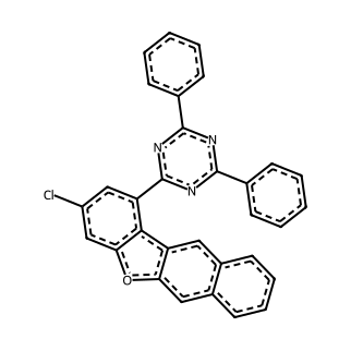 Clc1cc(-c2nc(-c3ccccc3)nc(-c3ccccc3)n2)c2c(c1)oc1cc3ccccc3cc12